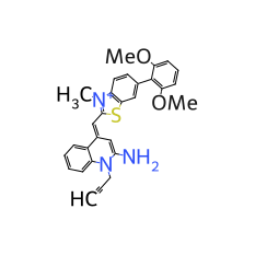 C#CCN1C(N)=CC(=Cc2sc3cc(-c4c(OC)cccc4OC)ccc3[n+]2C)c2ccccc21